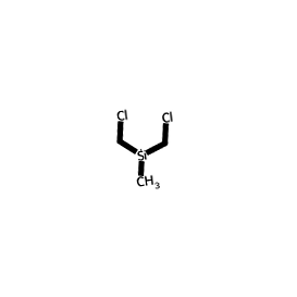 C[Si](CCl)CCl